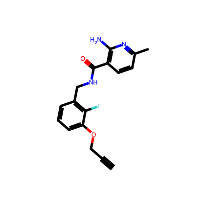 C#CCOc1cccc(CNC(=O)c2ccc(C)nc2N)c1F